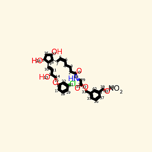 O=C(CCC/C=C\C[C@@H]1[C@@H](/C=C/[C@@H](O)COc2cccc(Cl)c2)[C@H](O)C[C@@H]1O)NCC(=O)OCc1cccc(CO[N+](=O)[O-])c1